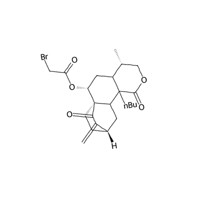 C=C1C(=O)[C@]23CC[C@H]1CC2C1(CCCC)C(=O)OC[C@@H](C)C1C[C@H]3OC(=O)CBr